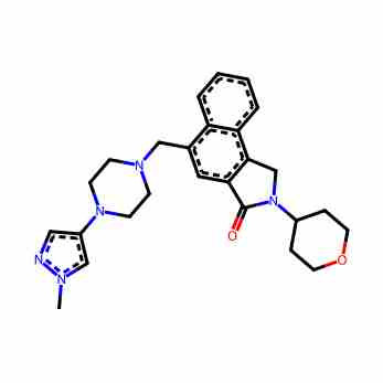 Cn1cc(N2CCN(Cc3cc4c(c5ccccc35)CN(C3CCOCC3)C4=O)CC2)cn1